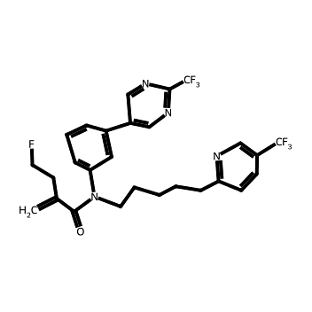 C=C(CCF)C(=O)N(CCCCCc1ccc(C(F)(F)F)cn1)c1cccc(-c2cnc(C(F)(F)F)nc2)c1